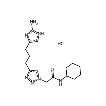 Cl.Nc1nc(CCCc2cn(CC(=O)NC3CCCCC3)nn2)c[nH]1